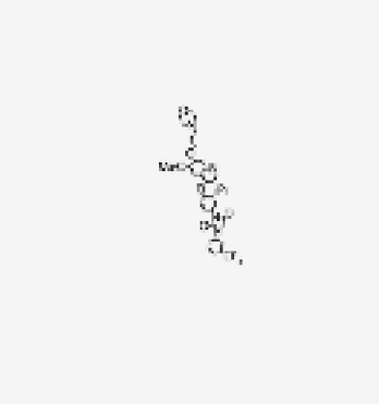 COc1cc2c(Oc3ccc(N4C(=O)CN(c5cccc(C(F)(F)F)c5)C4=O)cc3C(C)C)ccnc2cc1OCCCN1CCOCC1